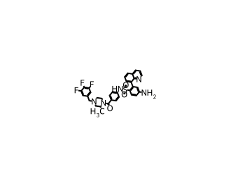 C[C@H]1CN(Cc2cc(F)c(F)c(F)c2)CCN1C(=O)c1ccc(NS(=O)(=O)c2ccc(N)cc2-c2cccc3cccnc23)cc1